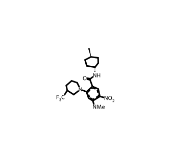 CNc1cc(N2CCCC(C(F)(F)F)C2)c(C(=O)N[C@H]2CC[C@H](C)CC2)cc1[N+](=O)[O-]